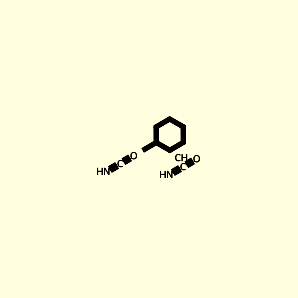 C.CC1CCCCC1.N=C=O.N=C=O